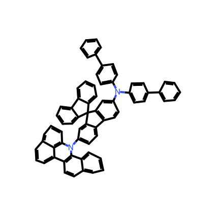 c1ccc(-c2ccc(N(c3ccc(-c4ccccc4)cc3)c3ccc4c(c3)C3(c5ccccc5-c5ccccc53)c3cc(N5c6c(ccc7ccccc67)-c6cccc7cccc5c67)ccc3-4)cc2)cc1